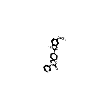 O=C1O[C@]2(CC[C@H](c3nc4cc(OC(F)(F)F)ccc4[nH]3)CC2)CN1c1cccnc1